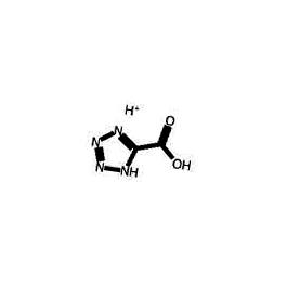 O=C(O)c1nnn[nH]1.[H+]